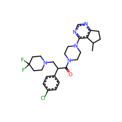 CC1CCc2ncnc(N3CCN(C(=O)C(CN4CCC(F)(F)CC4)c4ccc(Cl)cc4)CC3)c21